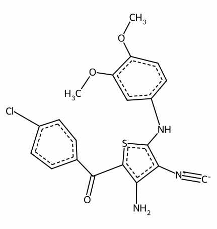 [C-]#[N+]c1c(Nc2ccc(OC)c(OC)c2)sc(C(=O)c2ccc(Cl)cc2)c1N